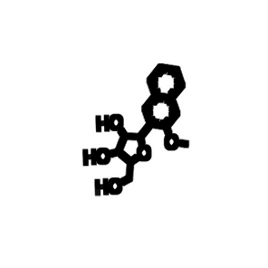 COc1cc2ccccc2cc1C1OC(CO)C(O)C1O